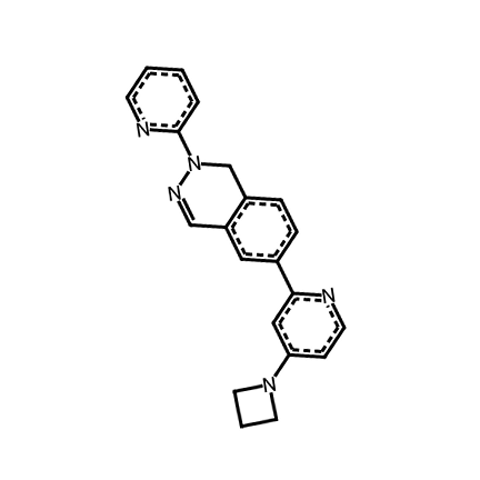 C1=NN(c2ccccn2)Cc2ccc(-c3cc(N4CCC4)ccn3)cc21